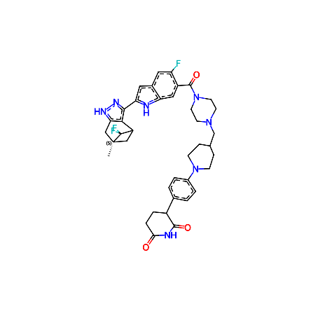 C[C@@]12Cc3[nH]nc(-c4cc5cc(F)c(C(=O)N6CCN(CC7CCN(c8ccc(C9CCC(=O)NC9=O)cc8)CC7)CC6)cc5[nH]4)c3C(C1)C2(F)F